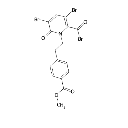 COC(=O)c1ccc(CCn2c(C(=O)Br)c(Br)cc(Br)c2=O)cc1